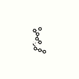 Fc1ccc(-n2c3ccccc3c3cc(-c4ccc5c(c4)c4ccccc4n5-c4nccc(-c5cccc(-c6ccc(-c7ccccc7)cc6)c5)n4)ccc32)cc1